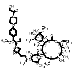 CC[C@H]1OC(=O)[C@H](C)[C@@H](C2C[C@@](C)(OC)[C@@H](O)[C@H](C)O2)[C@H](C)[C@@H](O[C@@H]2O[C@H](C)C[C@H](N(C)CCc3cn([C@H](CF)[C@H](OC)c4ccc(N5CCN(C(=O)CO)CC5)cc4)nn3)[C@H]2O)[C@](C)(O)C[C@@H](C)CN(C)[C@H](C)[C@@H](O)[C@]1(C)O